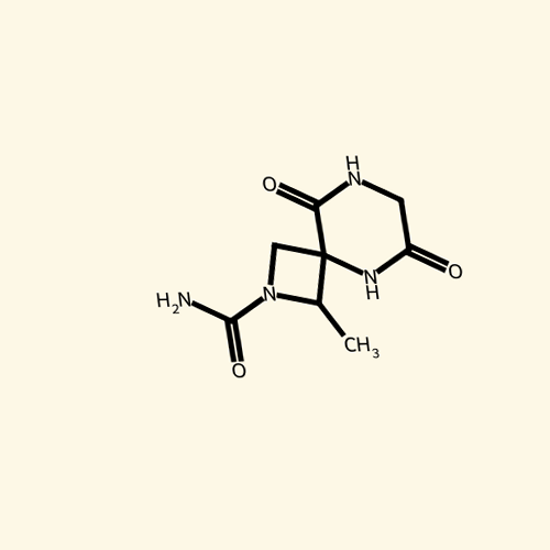 CC1N(C(N)=O)CC12NC(=O)CNC2=O